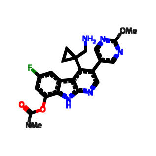 CNC(=O)Oc1cc(F)cc2c1[nH]c1ncc(-c3cnc(OC)nc3)c(C3(CN)CC3)c12